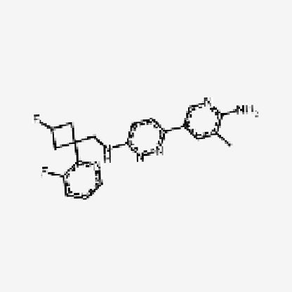 Cc1cc(-c2ccc(NCC3(c4ncccc4F)CC(F)C3)nn2)cnc1N